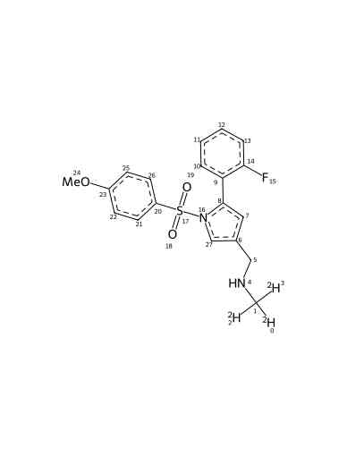 [2H]C([2H])([2H])NCc1cc(-c2ccccc2F)n(S(=O)(=O)c2ccc(OC)cc2)c1